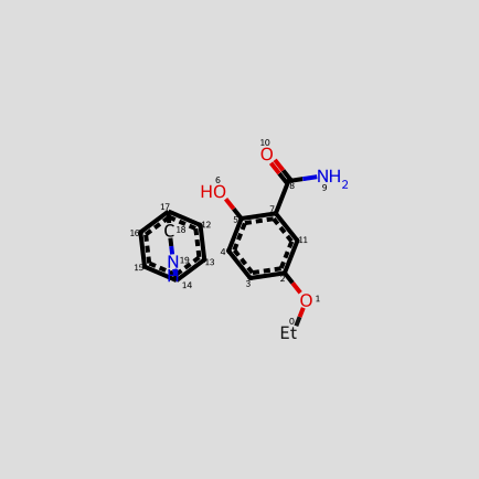 CCOc1ccc(O)c(C(N)=O)c1.c1cc2ccc1CN2